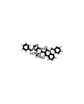 O=c1c(C2=NS(O)(O)c3c(ncn3Cc3ccccc3)N2)c(O)c2ccccc2n1Cc1ccccc1